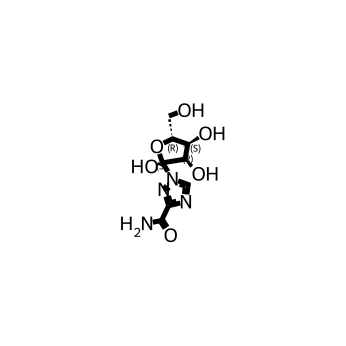 NC(=O)c1ncn([C@@]2(O)O[C@H](CO)[C@@H](O)[C@H]2O)n1